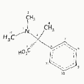 CN(C)[C@](C)(C(=O)O)c1ccccc1